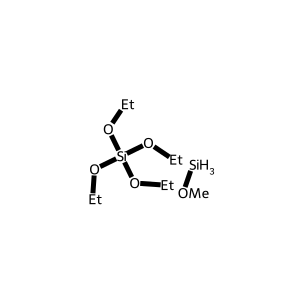 CCO[Si](OCC)(OCC)OCC.CO[SiH3]